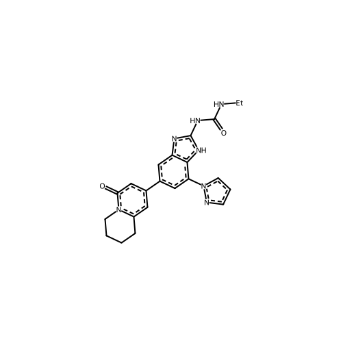 CCNC(=O)Nc1nc2cc(-c3cc4n(c(=O)c3)CCCC4)cc(-n3cccn3)c2[nH]1